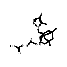 Cc1c(I)cnn1CC12CC3(C)CC(C)(C1)CC(NC(=O)CNC(=O)O)(C3)C2